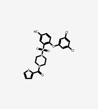 N#Cc1ccc(Oc2cc(Cl)cc(Cl)c2)c(S(=O)(=O)N2CCN(C(=O)c3cccs3)CC2)c1